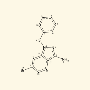 Nc1nn(Sc2ccccc2)c2cc(Br)ccc12